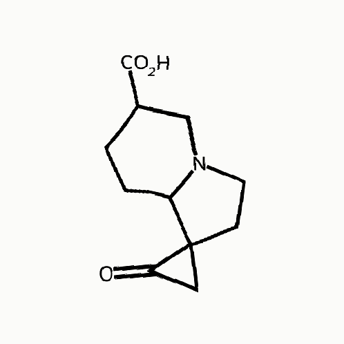 O=C(O)C1CCC2N(CCC23CC3=O)C1